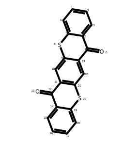 O=c1c2ccccc2sc2cc3c(=O)c4ccccc4sc3cc12